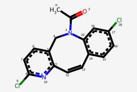 CC(=O)N1Cc2ccc(Cl)nc2/C=C\c2ccc(Cl)cc21